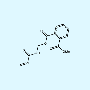 C=NC(=O)NCOC(=O)c1ccccc1C(=O)OC